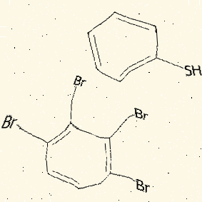 Brc1ccc(Br)c(Br)c1Br.Sc1ccccc1